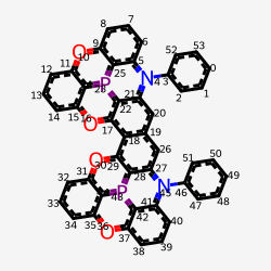 c1ccc(-n2c3cccc4oc5cccc6oc7c8c(cc2c7p(c56)c43)cc2c3c8oc4cccc5oc6cccc(c6p3c54)n2-c2ccccc2)cc1